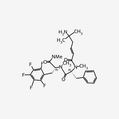 CNC(=O)[C@@H](Cc1c(F)c(F)c(F)c(F)c1F)N(C)C(=O)[C@@H](Cc1ccccc1)N(C)C(=O)C=CCC(C)(C)N